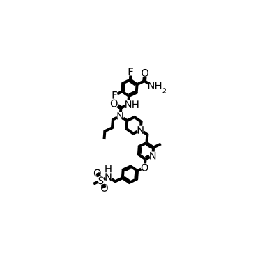 CCCCN(C(=O)Nc1cc(C(N)=O)c(F)cc1F)C1CCN(Cc2ccc(Oc3ccc(CNS(C)(=O)=O)cc3)nc2C)CC1